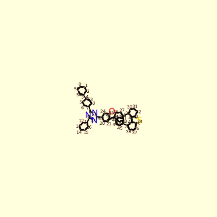 c1ccc(-c2ccc(-c3nc(-c4ccccc4)nc(-c4ccc5c(c4)oc4cc(-c6cccc7sc8cccc(-c9ccccc9)c8c67)ccc45)n3)cc2)cc1